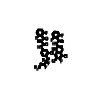 O=C(NC(=O)c1c(F)cccc1F)Nc1cc(Cl)c(F)c(Cl)c1F.O=C(NC(=O)c1c(F)cccc1F)Nc1ccc(OC(F)(F)C(F)OC(F)(F)F)c(Cl)c1